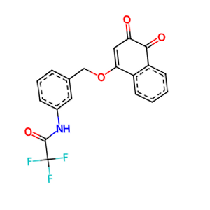 O=C1C=C(OCc2cccc(NC(=O)C(F)(F)F)c2)c2ccccc2C1=O